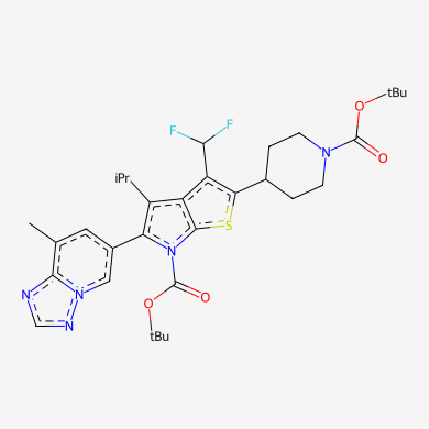 Cc1cc(-c2c(C(C)C)c3c(C(F)F)c(C4CCN(C(=O)OC(C)(C)C)CC4)sc3n2C(=O)OC(C)(C)C)cn2ncnc12